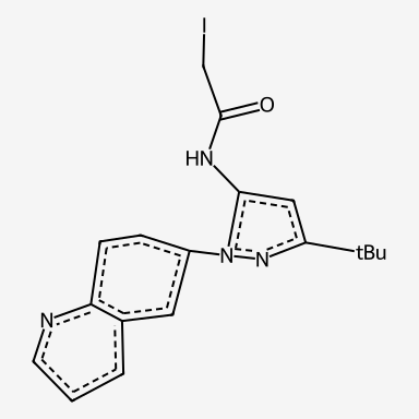 CC(C)(C)c1cc(NC(=O)CI)n(-c2ccc3ncccc3c2)n1